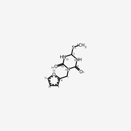 CSC1NC(=O)N(Cc2ccco2)C(=O)N1